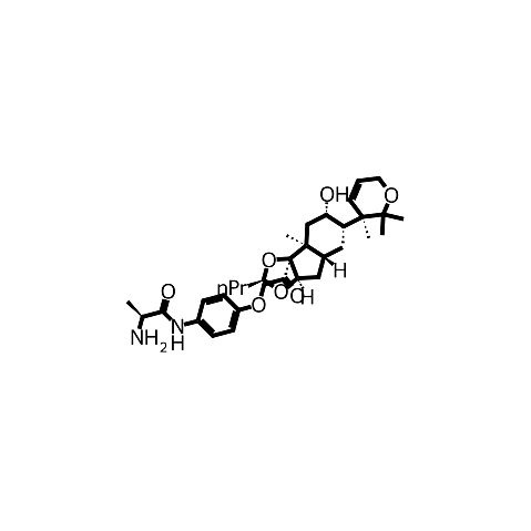 CCC[C@@H]1O[C@@H]2C[C@H]3C[C@@H]([C@@]4(C)C=CCOC4(C)C)[C@@H](O)C[C@]3(C)[C@]2(C(=O)COc2ccc(NC(=O)[C@H](C)N)cc2)O1